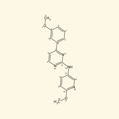 COc1cccc(-c2ccnc(Nc3ccc(OC)nc3)n2)c1